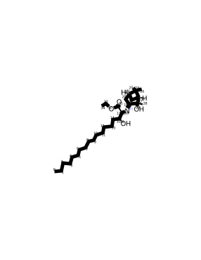 CCCCCCCCCCCCCCC[C@@H](O)[C@H](/N=C1\C[C@@H]2C[C@@H](C2(C)C)[C@]1(C)O)C(=O)OCC